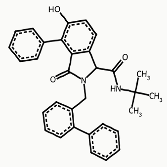 CC(C)(C)NC(=O)C1c2ccc(O)c(-c3ccccc3)c2C(=O)N1Cc1ccccc1-c1ccccc1